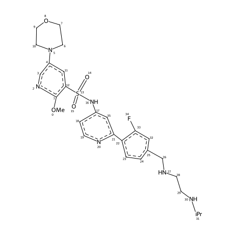 COc1ncc(N2CCOCC2)cc1S(=O)(=O)Nc1ccnc(-c2ccc(CNCCNC(C)C)cc2F)c1